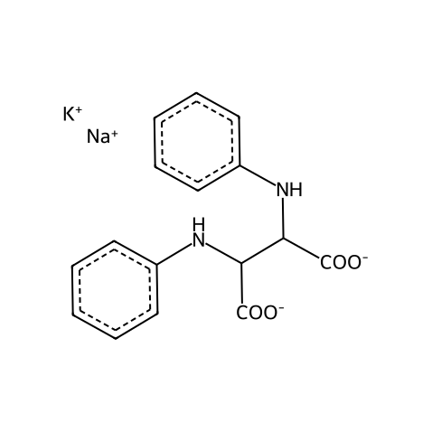 O=C([O-])C(Nc1ccccc1)C(Nc1ccccc1)C(=O)[O-].[K+].[Na+]